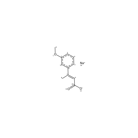 COc1cccc(C(C)=CC(=O)[O-])c1.[Na+]